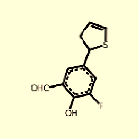 O=Cc1cc(C2CC=CS2)cc(F)c1O